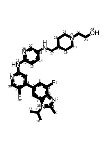 Cc1nc2c(F)cc(-c3cc(Nc4ccc(NCC5CCN(CCO)CC5)cn4)ncc3F)cc2n1C(C)C